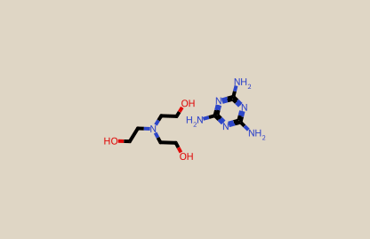 Nc1nc(N)nc(N)n1.OCCN(CCO)CCO